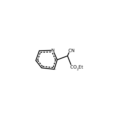 CCOC(=O)C(C#N)c1[c]cccn1